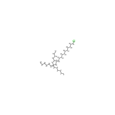 CCCCCCC(CCCCCC)(CCCCCC)CCCCCCCCCCCCCCl